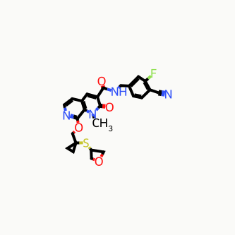 Cn1c(=O)c(C(=O)NCc2ccc(C#N)c(F)c2)cc2ccnc(OCC3(SC4COC4)CC3)c21